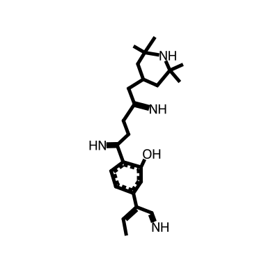 C/C=C(\C=N)c1ccc(C(=N)CCC(=N)CC2CC(C)(C)NC(C)(C)C2)c(O)c1